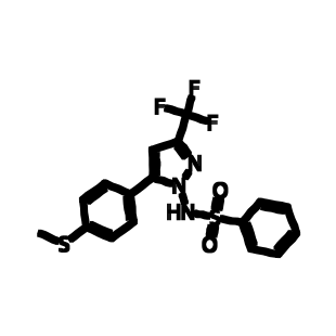 CSc1ccc(-c2cc(C(F)(F)F)nn2NS(=O)(=O)c2ccccc2)cc1